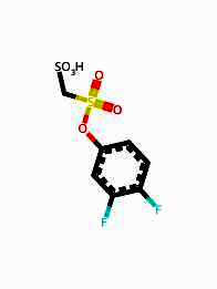 O=S(=O)(O)CS(=O)(=O)Oc1ccc(F)c(F)c1